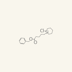 O=C(CCCC[Si]1(Cl)CCCCC1)OCc1ccccc1